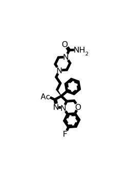 CC(=O)C1=NN2c3cc(F)ccc3OCC2[C@@]1(CCCN1CCN(C(N)=O)CC1)c1ccccc1